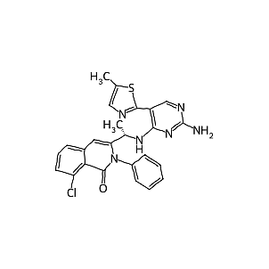 Cc1cnc(-c2cnc(N)nc2N[C@@H](C)c2cc3cccc(Cl)c3c(=O)n2-c2ccccc2)s1